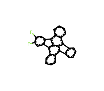 Fc1cc2c(cc1F)-c1c3ccccc3c3c4c(c5ccccc5c-2c14)-c1ccccc1-3